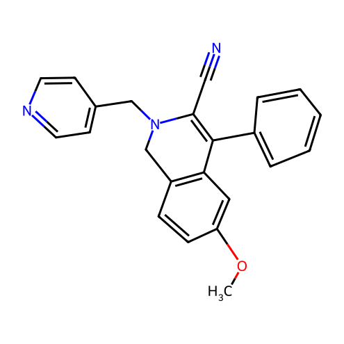 COc1ccc2c(c1)C(c1ccccc1)=C(C#N)N(Cc1ccncc1)C2